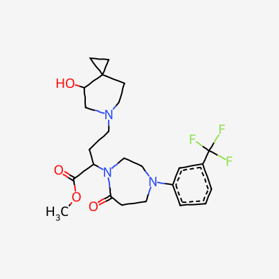 COC(=O)C(CCN1CCC2(CC2)C(O)C1)N1CCN(c2cccc(C(F)(F)F)c2)CCC1=O